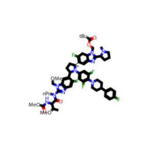 CCCN(C(=O)C(NC(=O)OC)C(C)OC)c1nc2cc(F)c(C3CC[C@H](C4=C(F)CC5C(=C4)N=C(C4CCCN4C)N5COC(=O)C(C)(C)C)N3c3cc(F)c(N4CCC(c5ccc(F)cc5)CC4)c(F)c3)cc2n1COC